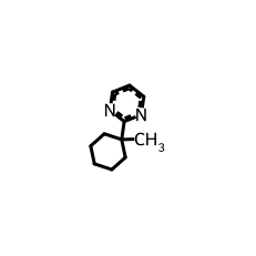 CC1(c2ncccn2)CCCCC1